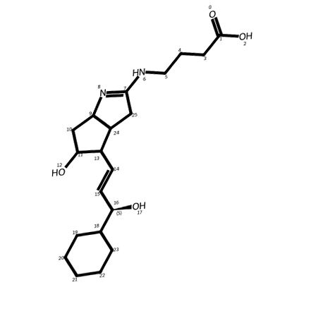 O=C(O)CCCNC1=NC2CC(O)C(C=C[C@@H](O)C3CCCCC3)C2C1